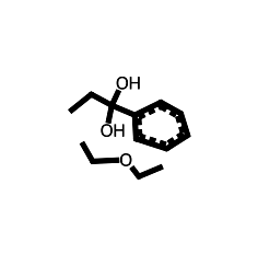 CCC(O)(O)c1ccccc1.CCOCC